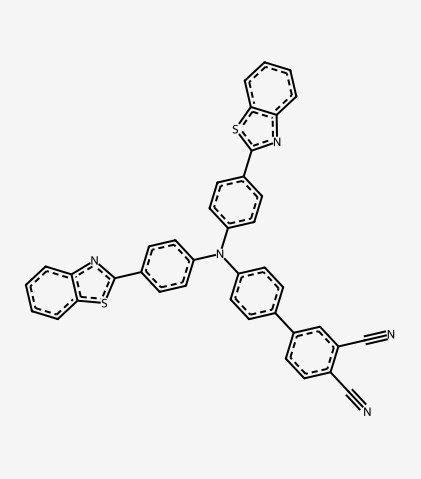 N#Cc1ccc(-c2ccc(N(c3ccc(-c4nc5ccccc5s4)cc3)c3ccc(-c4nc5ccccc5s4)cc3)cc2)cc1C#N